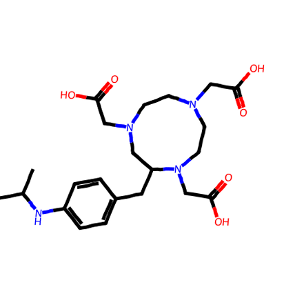 CC(C)Nc1ccc(CC2CN(CC(=O)O)CCN(CC(=O)O)CCN2CC(=O)O)cc1